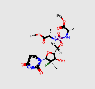 [2H]C([2H])(OP(=O)(N[C@@H](C)C(=O)OC(C)C)N[C@@H](C)C(=O)OC(C)C)[C@H]1O[C@@H](n2ccc(=O)[nH]c2=O)[C@](C)(F)[C@@H]1O